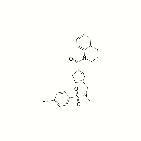 CN(CC1=CCC(C(=O)N2CCCc3ccccc32)=C1)S(=O)(=O)c1ccc(Br)cc1